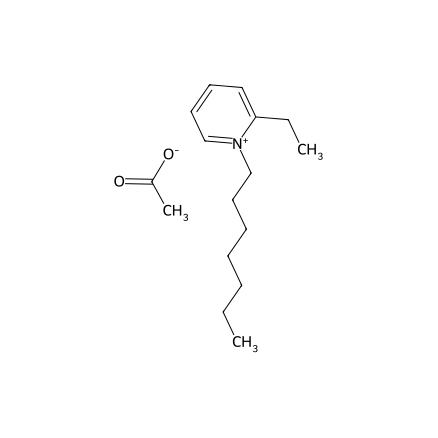 CC(=O)[O-].CCCCCCC[n+]1ccccc1CC